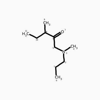 CCCN(C)CC(=O)C(C)CC